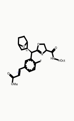 CCCCCCCCNC(=O)C1COC(C(c2cc(/C=C/C(=O)OC)ccc2F)[C@H]2CC3CCC2O3)=N1